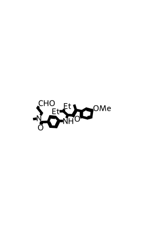 CCC(CC)C(Nc1ccc(C(=O)N(C)CCC=O)cc1)c1oc2ccc(OC)cc2c1C